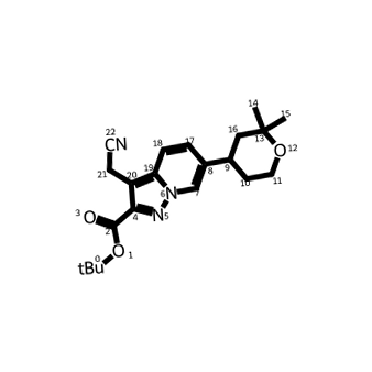 CC(C)(C)OC(=O)c1nn2cc(C3CCOC(C)(C)C3)ccc2c1CC#N